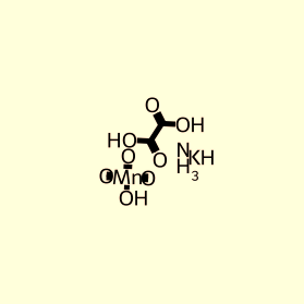 N.O=C(O)C(=O)O.[KH].[O]=[Mn](=[O])(=[O])[OH]